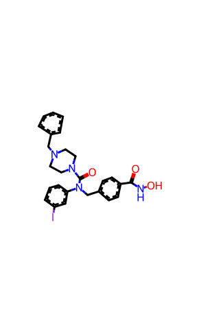 O=C(NO)c1ccc(CN(C(=O)N2CCN(Cc3ccccc3)CC2)c2cccc(I)c2)cc1